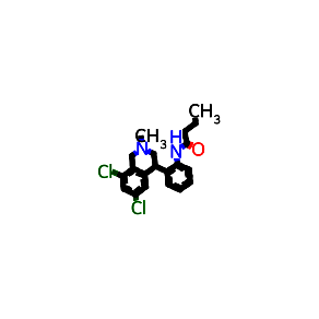 CCCC(=O)Nc1ccccc1C1CN(C)Cc2c(Cl)cc(Cl)cc21